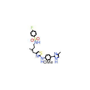 COc1cc(Nc2nc(C[C@@H](C)CCNS(=O)(=O)c3ccc(F)cc3)cs2)ccc1-c1nc(C)c[nH]1